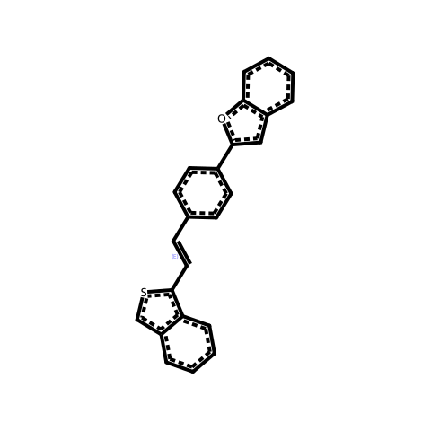 C(=C\c1scc2ccccc12)/c1ccc(-c2cc3ccccc3o2)cc1